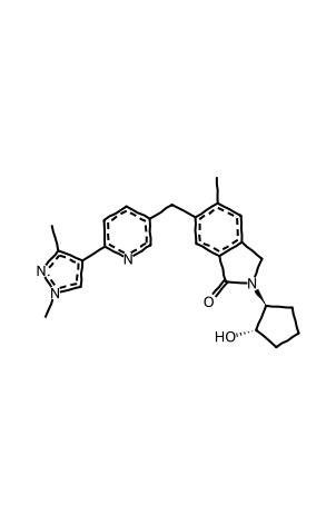 Cc1cc2c(cc1Cc1ccc(-c3cn(C)nc3C)nc1)C(=O)N([C@H]1CCC[C@@H]1O)C2